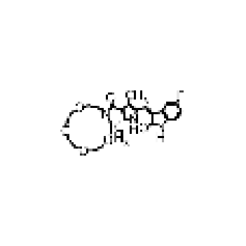 Cc1[nH]c(/C=C2\C(=O)Nc3ccc(F)cc32)c(C)c1C(=O)N1CCOCCOCCOCCOCC1